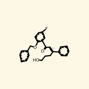 O=C(/C=C(\CCCO)c1ccccc1)c1cc(F)ccc1OCc1ccccc1